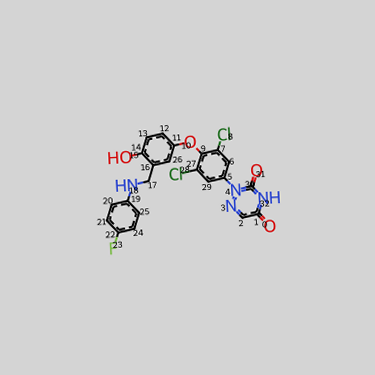 O=c1cnn(-c2cc(Cl)c(Oc3ccc(O)c(CNc4ccc(F)cc4)c3)c(Cl)c2)c(=O)[nH]1